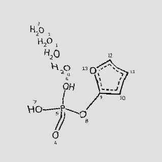 O.O.O.O.O=P(O)(O)Oc1ccco1